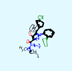 COc1c(C(=O)NN(C)C)nn(-c2ccccc2Cl)c1-c1ccc(Cl)cc1